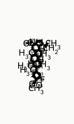 C=C(C)[C@@H]1CC[C@]2(N=C=O)CC[C@]3(C)[C@H](CC[C@@H]4[C@@]5(C)CC=C(c6ccc(C(=O)OC)c(F)c6)C(C)(C)[C@@H]5CC[C@]43C)[C@@H]12